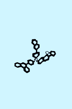 c1ccc2cc(-c3ccc(N(c4ccc(-c5cc6ccccc6c6ccccc56)cc4)c4ccc5ccc6c7ccccc7oc6c5c4)cc3)ccc2c1